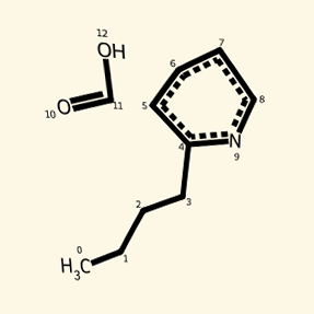 CCCCc1ccccn1.O=CO